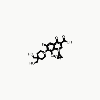 COc1c(N2CCC(CO)(CO)CC2)c(F)cc2c(=O)c(C(=O)O)cn(C3CC3)c12